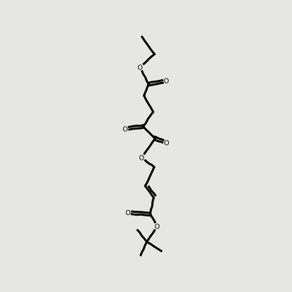 CCOC(=O)CCC(=O)C(=O)OCC=CC(=O)OC(C)(C)C